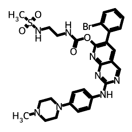 CN1CCN(c2ccc(Nc3ncc4cc(-c5ccccc5Br)c(OC(=O)NCCNS(C)(=O)=O)nc4n3)cc2)CC1